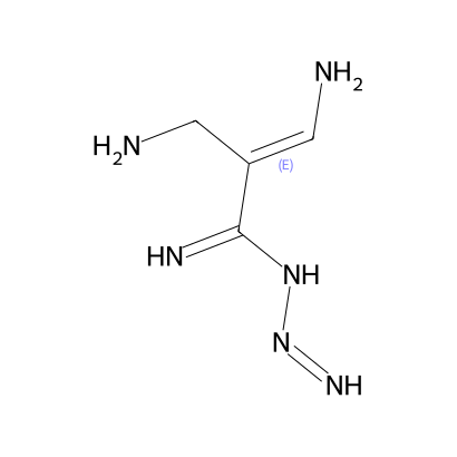 N=NNC(=N)/C(=C/N)CN